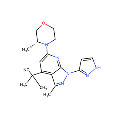 Cc1nn(-c2cc[nH]n2)c2nc(N3CCOC[C@H]3C)cc(C(C)(C)C#N)c12